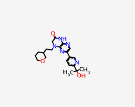 CC(C)(O)c1ccc(-c2cnc3c(n2)N(CCC2CCCOC2)CC(=O)N3)cn1